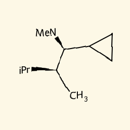 CN[C@@H](C1CC1)[C@@H](C)C(C)C